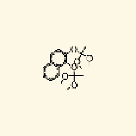 COC(C)(OC)Oc1ccc2ccccc2c1OC(C)(OC)OC